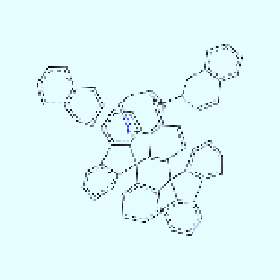 C=C/C=C\C1=C(C2=CC(C3C=Cc4ccccc4C3)=CCC(c3ccc4ccccc4c3)=N2)C2(c3ccccc3-c3ccccc32)c2ccccc2C12c1ccccc1-c1ccccc12